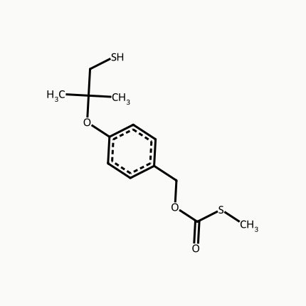 CSC(=O)OCc1ccc(OC(C)(C)CS)cc1